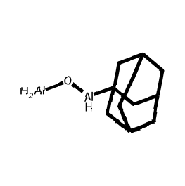 [AlH2][O][AlH][C]12CC3CC(CC(C3)C1)C2